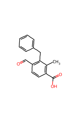 Cc1c(C(=O)O)ccc(C=O)c1Cc1ccccc1